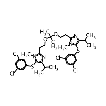 CC(C)c1nc(CCOC(C)(C)OCCc2nc(C(C)C)c(Sc3cc(Cl)cc(Cl)c3)n2C)n(C)c1Sc1cc(Cl)cc(Cl)c1